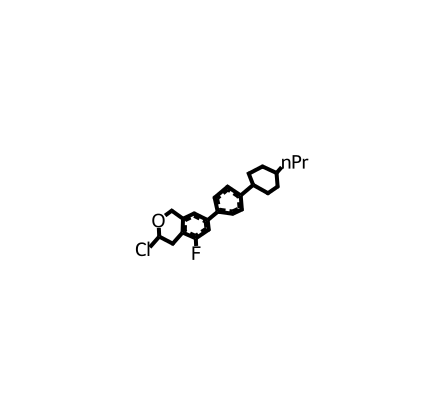 CCCC1CCC(c2ccc(-c3cc(F)c4c(c3)COC(Cl)C4)cc2)CC1